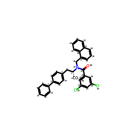 O=C(O)[C@H](Cc1ccc(-c2ccccc2)cc1)N(Cc1cccc2ccccc12)C(=O)c1cc(Cl)cc(Cl)c1